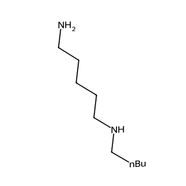 CCCCCNCCCCCN